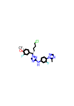 Cc1ncnn1-c1ccc(Nc2ncn([C@@H](CCCCCl)c3ccc(OC(F)(F)F)c(F)c3)n2)cc1F